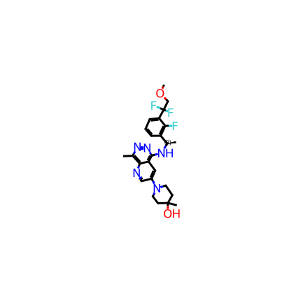 COCC(F)(F)c1cccc([C@@H](C)Nc2nnc(C)c3ncc(N4CCC(C)(O)CC4)cc23)c1F